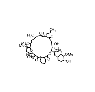 C=CC[C@@H]1/C=C(\C)C[C@H](C)C[C@H](OC)[C@H]2O[C@@](O)(C(=O)C(=O)N3CCCCC3C(=O)O[C@H](/C(C)=C/[C@@H]3CC[C@@H](O)[C@H](OC)C3)[C@H](C)[C@@H](O)CC1=O)[C@H](C)C[C@@H]2OC